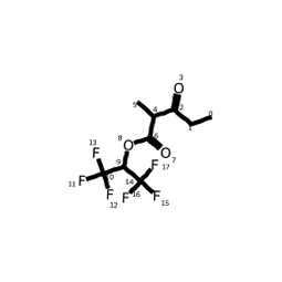 CCC(=O)C(C)C(=O)OC(C(F)(F)F)C(F)(F)F